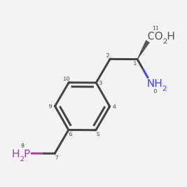 N[C@@H](Cc1ccc(CP)cc1)C(=O)O